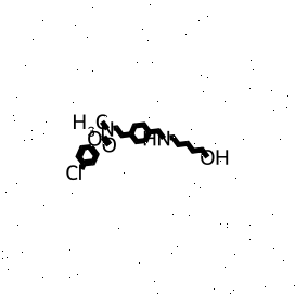 CN(CCC1CCC(CNCCCCCO)CC1)C(=O)Oc1ccc(Cl)cc1